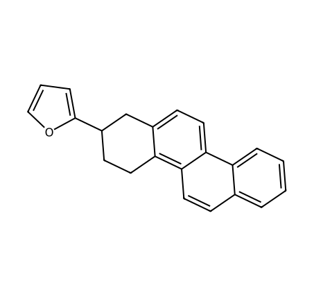 c1coc(C2CCc3c(ccc4c3ccc3ccccc34)C2)c1